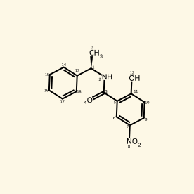 C[C@@H](NC(=O)c1cc([N+](=O)[O-])ccc1O)c1ccccc1